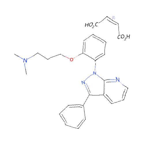 CN(C)CCCOc1ccccc1-n1nc(-c2ccccc2)c2cccnc21.O=C(O)/C=C\C(=O)O